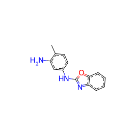 Cc1ccc(Nc2nc3ccccc3o2)cc1N